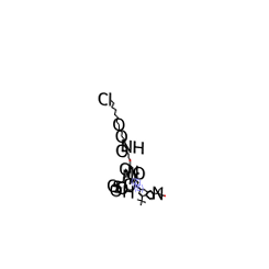 CCN(CC)c1ccc2c(c1)C/C(=C\C=C1\C(=O)N(CCCCCC(=O)NCCOCCOCCCCCCCl)C(=O)N(CCCS(=O)(=O)O)C1=O)C=C2C(C)(C)C